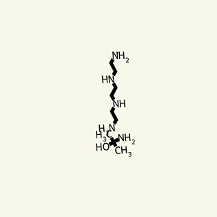 CC(C)(N)O.NCCNCCNCCN